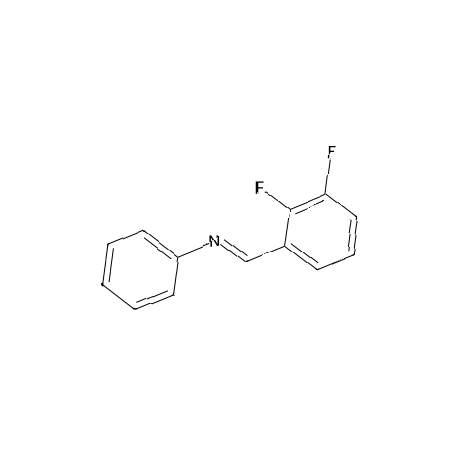 Fc1cccc(C=Nc2ccccc2)c1F